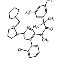 CN(C(=O)C(C)(C)c1cc(C(F)(F)F)cc(C(F)(F)F)c1)c1cnc(N2CCC[C@H]2CN2CCCC2)cc1-c1ccccc1Cl